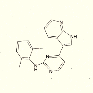 Cc1cccc(C)c1Nc1nccc(-c2c[nH]c3ncccc23)n1